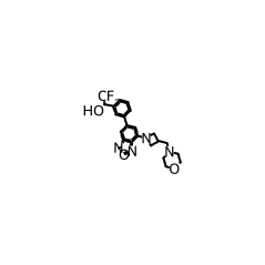 OC(c1cccc(-c2cc(N3CC(CN4CCOCC4)C3)c3nonc3c2)c1)C(F)(F)F